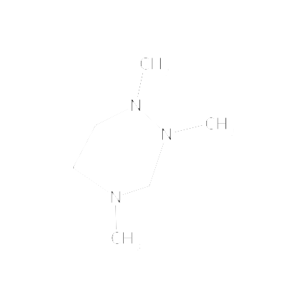 CN1CCN(C)N(C)C1